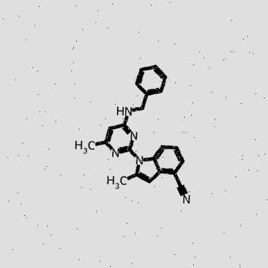 Cc1cc(NCc2ccccc2)nc(-n2c(C)cc3c(C#N)cccc32)n1